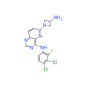 NC1CN(c2ccc3ncnc(Nc4ccc(Cl)c(Cl)c4F)c3n2)C1